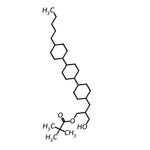 CCCCCC1CCC(C2CCC(C3CCC(CC(CO)COC(=O)C(C)(C)C)CC3)CC2)CC1